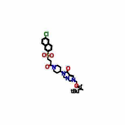 CC(C)(C)[Si](C)(C)OCN1C=C2C(=O)N(C3CCN(C(=O)CCS(=O)(=O)c4ccc5cc(Cl)ccc5c4)CC3)CN2C1